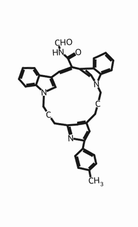 Cc1ccc(-c2cc3cc(n2)CCCn2cc(c4ccccc42)/C=C(/C(=O)NC=O)c2cn(c4ccccc24)CCC3)cc1